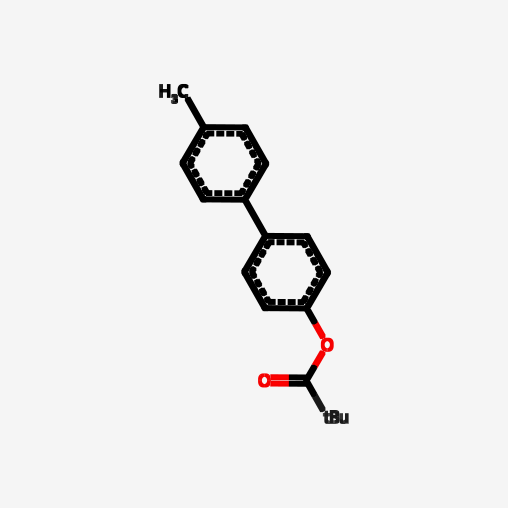 Cc1ccc(-c2ccc(OC(=O)C(C)(C)C)cc2)cc1